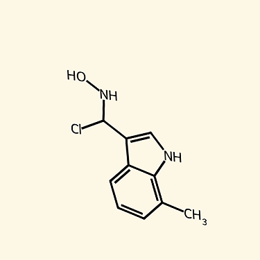 Cc1cccc2c(C(Cl)NO)c[nH]c12